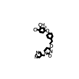 Cc1cc(Oc2ccc(CCOc3ccn(Cc4cncnc4)c(=O)n3)cc2)ccc1Cl